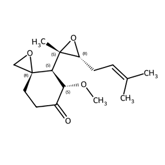 CO[C@@H]1C(=O)CC[C@]2(CO2)[C@H]1[C@]1(C)O[C@@H]1CC=C(C)C